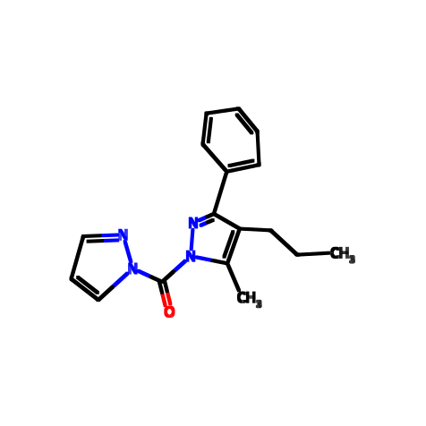 CCCc1c(-c2ccccc2)nn(C(=O)n2cccn2)c1C